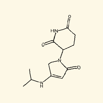 CC(C)NC1=CC(=O)N(C2CCC(=O)NC2=O)C1